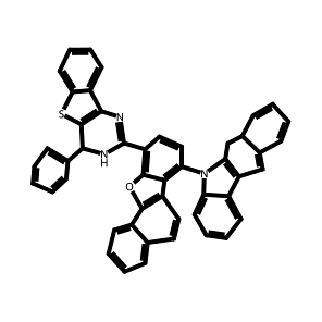 C1=CC2=Cc3c(n(-c4ccc(C5=Nc6c(sc7ccccc67)C(c6ccccc6)N5)c5oc6c7ccccc7ccc6c45)c4ccccc34)CC2C=C1